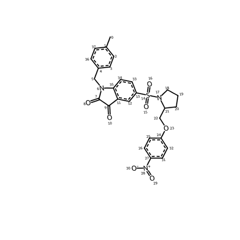 Cc1ccc(CN2C(=O)C(=O)c3cc(S(=O)(=O)N4CCCC4COc4ccc([N+](=O)[O-])cc4)ccc32)cc1